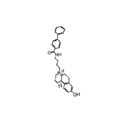 O=C(NCCCCN1CCC[C@@H]2c3ccc(O)cc3CC[C@H]21)c1ccc(-c2ccccc2)cc1